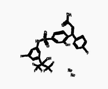 O=C(O)C=C(c1ccc(F)cc1)c1ccc(S(=O)(=O)Nc2cc(F)cc(C(O)(C(F)(F)F)C(F)(F)F)c2)cc1O.[Na].[Na]